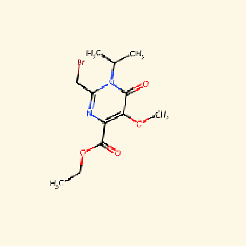 CCOC(=O)c1nc(CBr)n(C(C)C)c(=O)c1OC